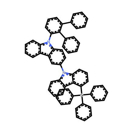 c1ccc(-c2cccc(-n3c4ccccc4c4cc(-n5c6ccccc6c6c([Si](c7ccccc7)(c7ccccc7)c7ccccc7)cccc65)ccc43)c2-c2ccccc2)cc1